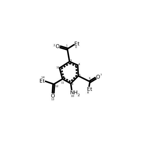 CCC(=O)c1cc(C(=O)CC)c(N)c(C(=O)CC)c1